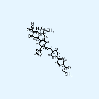 COC(=O)c1ccc(N2CCC(COc3cc4c(cc3-c3nccs3)-c3cc(=O)c(C(=O)O)cn3C(C(C)C)C4)CC2)cc1